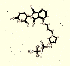 CC(C)(C)OC(=O)N[C@H]1CCN(CCCOc2cccc3c2C(=O)N(C2CCC(=O)NC2=O)C3=O)C1